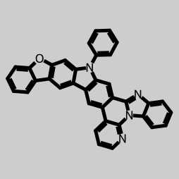 c1ccc(-n2c3cc4oc5ccccc5c4cc3c3cc4c5cccnc5n5c6ccccc6nc5c4cc32)cc1